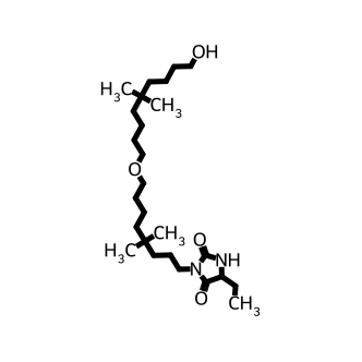 CCC1NC(=O)N(CCCC(C)(C)CCCCOCCCCC(C)(C)CCCCO)C1=O